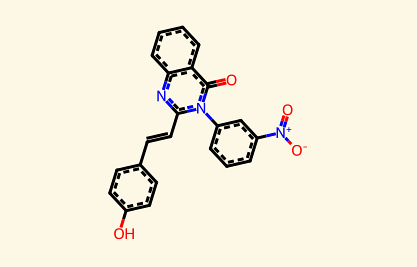 O=c1c2ccccc2nc(C=Cc2ccc(O)cc2)n1-c1cccc([N+](=O)[O-])c1